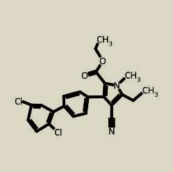 CCOC(=O)c1c(-c2ccc(-c3cc(Cl)ccc3Cl)cc2)c(C#N)c(CC)n1C